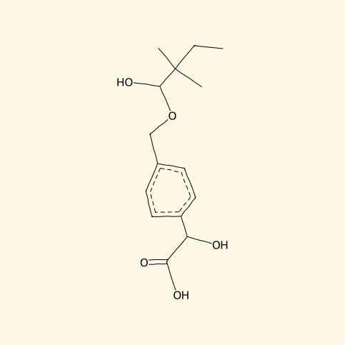 CCC(C)(C)C(O)OCc1ccc(C(O)C(=O)O)cc1